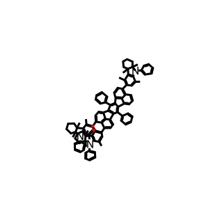 Cc1cc(-c2ccc3c4c(-c5ccccc5)c5c6ccc(-c7cc(C)c8c(c7C)C7(C)CCCCC7(C)N8c7ccccc7)c7c(-c8cc(C)c9c(c8C)C8(C)CCCCC8(C)N9c8ccccc8)ccc(c5c(-c5ccccc5)c4c4cccc2c43)c76)c(C)c2c1N(c1ccccc1)C1(C)CCCCC21C